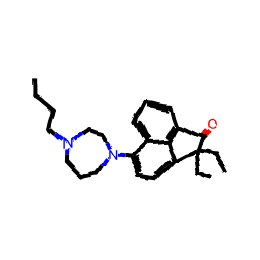 CCCCN1CCCN(c2ccc3c4c(cccc24)C(=O)C3(CC)CC)CC1